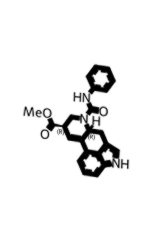 COC(=O)[C@@H]1C=C2c3cccc4[nH]cc(c34)C[C@H]2N(C(=O)Nc2ccccc2)C1